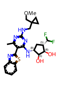 COCC1(CNc2nc(C)c(-c3nc4ccccc4s3)c(N[C@@H]3C[C@H](C(F)F)[C@@H](O)[C@H]3O)n2)CC1